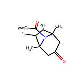 [2H]C1C([2H])C2(C)CC(=O)CC1(C)N2C(=O)OC